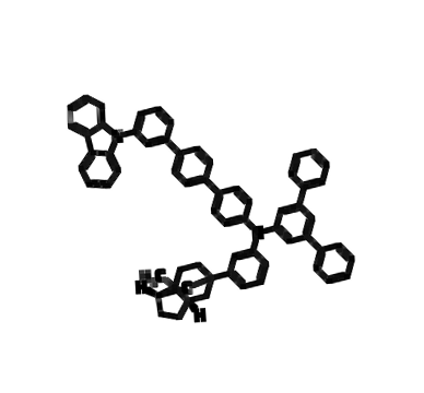 CC12CCC3(c4cccc(N(c5ccc(-c6ccc(-c7cccc(-n8c9ccccc9c9ccccc98)c7)cc6)cc5)c5cc(-c6ccccc6)cc(-c6ccccc6)c5)c4)C[C@@H]1CC[C@H]2C3